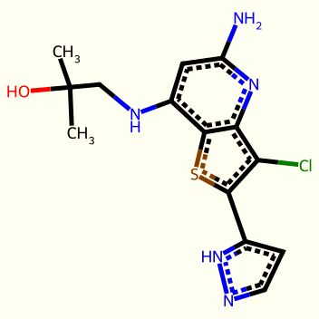 CC(C)(O)CNc1cc(N)nc2c(Cl)c(-c3ccn[nH]3)sc12